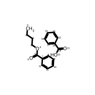 CCCCOC(=O)c1ccccc1.O=C(O)c1ccccc1